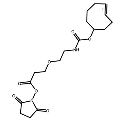 O=C(CCOCCNC(=O)OC1CC/C=C/CCC1)ON1C(=O)CCC1=O